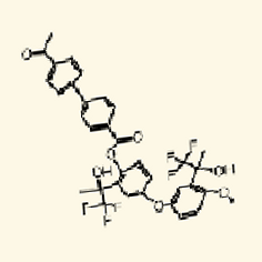 COc1ccc(Oc2ccc(OC(=O)c3ccc(-c4ccc(C(C)=O)cc4)cc3)c(C(C)(O)C(F)(F)F)c2)cc1C(C)(O)C(F)(F)F